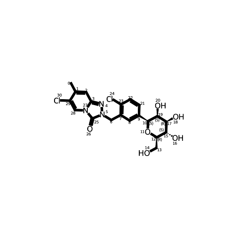 Cc1cc2nn(Cc3cc([C@@H]4O[C@H](CO)[C@@H](O)[C@H](O)[C@@H]4O)ccc3Cl)c(=O)n2cc1Cl